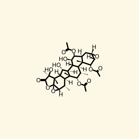 CC(=O)O[C@@H]1[C@H](O)[C@H]2[C@@H]3[C@@H](O)[C@@H]4[C@H]([C@H](C)[C@@H]5O[C@]56OC(=O)[C@@](C)(O)[C@]46C)[C@@]3(C)[C@@H](OC(C)=O)[C@@H](C)[C@@H]2[C@]2(C)[C@@H]1C[C@@H]1O[C@@H]1[C@@H]2OC(C)=O